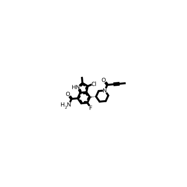 CC#CC(=O)N1CCC[C@H](c2c(F)cc(C(N)=O)c3[nH]c(C)c(Cl)c23)C1